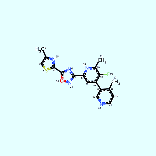 Cc1csc(-c2nc(-c3cc(-c4cnccc4C)c(F)c(C)n3)no2)n1